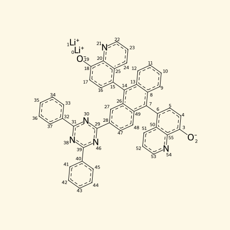 [Li+].[Li+].[O-]c1ccc(-c2c3ccccc3c(-c3ccc([O-])c4ncccc34)c3cc(-c4nc(-c5ccccc5)nc(-c5ccccc5)n4)ccc23)c2cccnc12